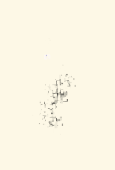 CCCCCC/C=C\CCCOc1cccc(C(=O)NC2[C@H](O[C@H]3C(O)C(NC(C)=O)C(OC4C(CO)O[C@@H](O[C@H]5C(O)C(NC(C)=O)C(OC6C(CO)OC(C)[C@@H](NC(C)=O)[C@H]6O)O[C@H]5CO)[C@@H](NC(C)=O)[C@H]4O)O[C@H]3CO)OC(CO)[C@@H](O)[C@@H]2O)c1